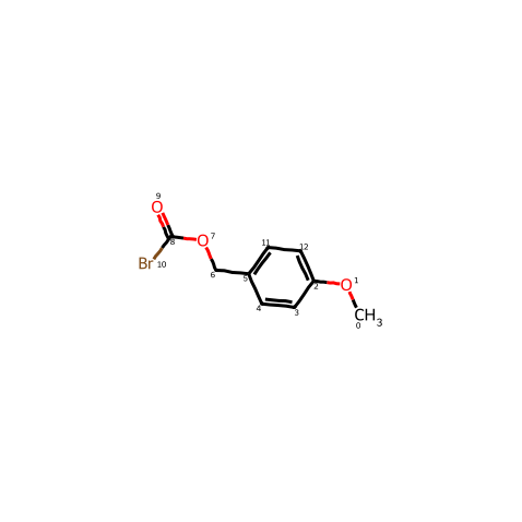 COc1ccc(COC(=O)Br)cc1